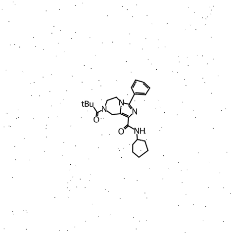 CC(C)(C)C(=O)N1CCn2c(-c3ccccc3)nc(C(=O)NC3CCCCC3)c2C1